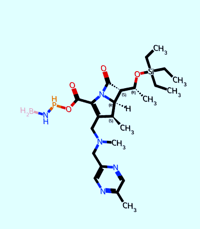 BNPOC(=O)C1=C(CN(C)Cc2cnc(C)cn2)[C@H](C)[C@@H]2[C@@H]([C@@H](C)O[Si](CC)(CC)CC)C(=O)N12